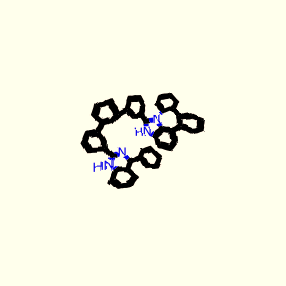 C1=CCC2C(=C1)N1c3c(cccc3-c3ccccc32)NC1c1cccc(-c2cccc(C3=CC=CC(C4=NC(C5=CCCC=C5)C5C=CC=CC5N4)C3)c2)c1